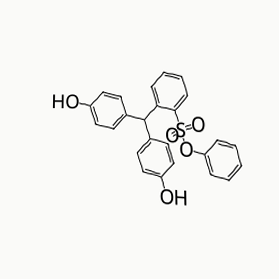 O=S(=O)(Oc1ccccc1)c1ccccc1C(c1ccc(O)cc1)c1ccc(O)cc1